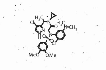 COc1ccc(S(=O)(=O)N(CC(=O)N(C2CC2)C(C)c2n[nH]cc2Cl)c2cc(N(C)C)ccc2Cl)cc1OC